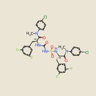 CN(C(=O)[C@H](Cc1cc(F)cc(F)c1)NC(=O)NS(=O)(=O)N[C@@H](Cc1cc(F)cc(F)c1)C(=O)N(C)c1ccc(Cl)cc1)c1ccc(Cl)cc1